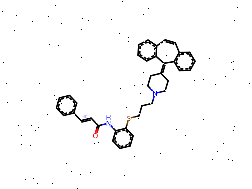 O=C(/C=C/c1ccccc1)Nc1ccccc1SCCCN1CCC(=C2c3ccccc3C=Cc3ccccc32)CC1